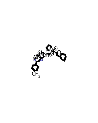 C=N/C(=C\C(=N/C)c1ccc(C(F)(F)F)cc1)CNC(=O)[C@@H]1CCCN1S(=O)(=O)c1cc2ccccc2o1